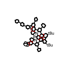 CC(C)(C)c1ccc2c(c1)c1cc(C(C)(C)C)ccc1n2-c1cc2c3c(c1)N(c1c(-c4ccccc4)cc(-c4ccccc4)cc1-c1ccccc1)c1cc(-n4c5ccc(-c6ccccc6)cc5c5cc(-c6ccc(-c7ccccc7)cc6)ccc54)ccc1B3c1ccc(N3C4CC5CC(C4)CC3C5)cc1N2c1c(-c2ccccc2)cc(-c2ccccc2)cc1-c1ccccc1